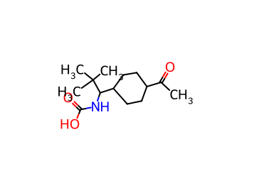 CC(=O)C1CCC(C(NC(=O)O)C(C)(C)C)CC1